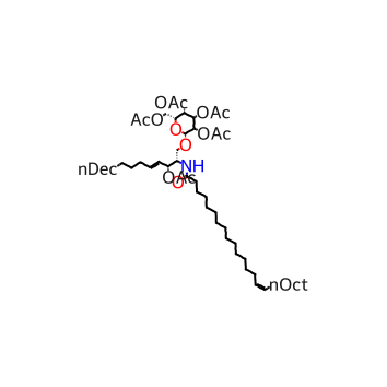 CCCCCCCC/C=C\CCCCCCCCCCCCCC(=O)N[C@@H](CO[C@@H]1O[C@H](COC(C)=O)[C@H](OC(C)=O)C(OC(C)=O)C1OC(C)=O)[C@@H](/C=C/CCCCCCCCCCCCC)OC(C)=O